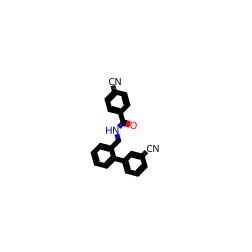 N#Cc1ccc(C(=O)NCc2ccccc2-c2cccc(C#N)c2)cc1